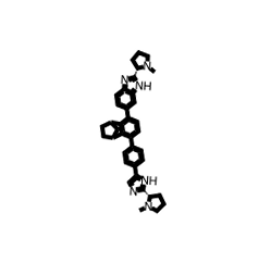 CN1CCC[C@H]1c1ncc(-c2ccc(-c3ccc(-c4ccc5nc([C@@H]6CCCN6C)[nH]c5c4)c4c3C3CCC4C3)cc2)[nH]1